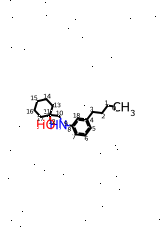 CCCCc1cccc(NCC2(O)CCCCC2)c1